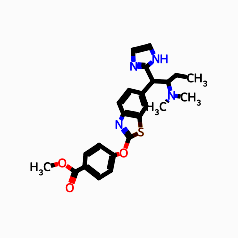 CCC(C(c1ccc2nc(Oc3ccc(C(=O)OC)cc3)sc2c1)c1ncc[nH]1)N(C)C